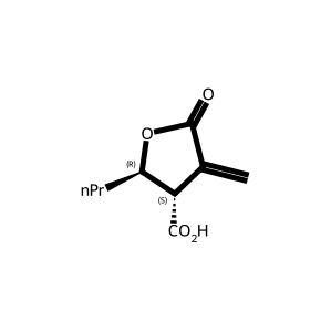 C=C1C(=O)O[C@H](CCC)[C@H]1C(=O)O